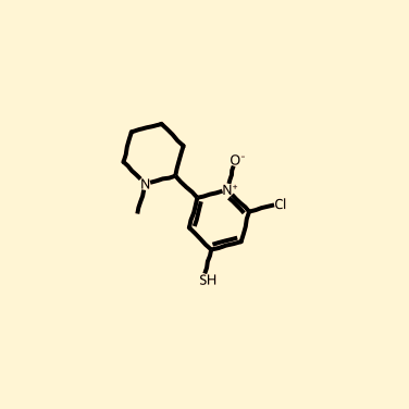 CN1CCCCC1c1cc(S)cc(Cl)[n+]1[O-]